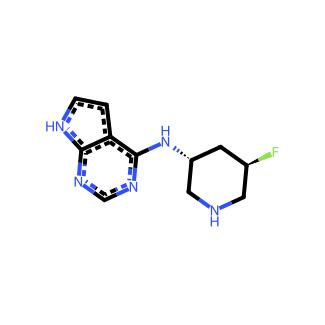 F[C@H]1CNC[C@H](Nc2ncnc3[nH]ccc23)C1